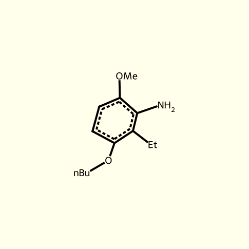 CCCCOc1ccc(OC)c(N)c1CC